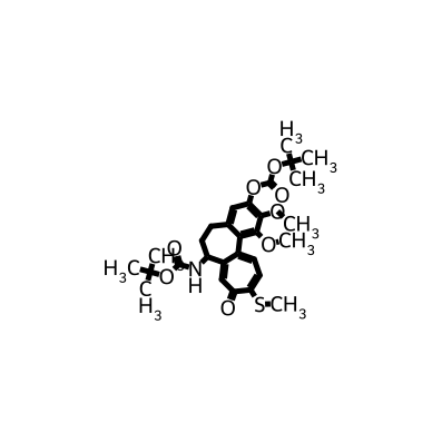 COc1c(OC(=O)OC(C)(C)C)cc2c(c1OC)-c1ccc(SC)c(=O)cc1C(NC(=O)OC(C)(C)C)CC2